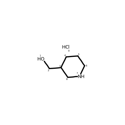 Cl.OCC1CCCNC1